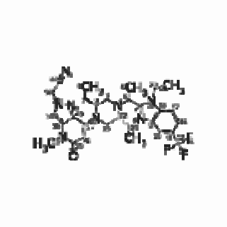 CC[C@H]1CN(C(C)c2nc3cc(C(F)(F)F)ccc3n2CC)[C@H](CC)CN1c1cc(=O)n(C)c2cn(CC#N)nc12